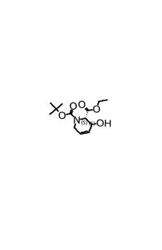 CCOC(=O)[C@@H]1[C@@H](O)C=CCN1C(=O)OC(C)(C)C